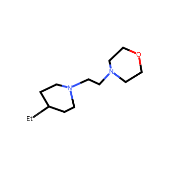 [CH2]CC1CCN(CCN2CCOCC2)CC1